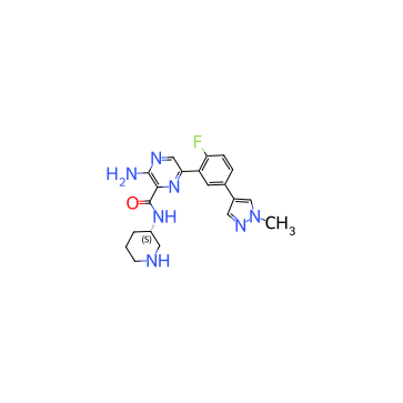 Cn1cc(-c2ccc(F)c(-c3cnc(N)c(C(=O)N[C@H]4CCCNC4)n3)c2)cn1